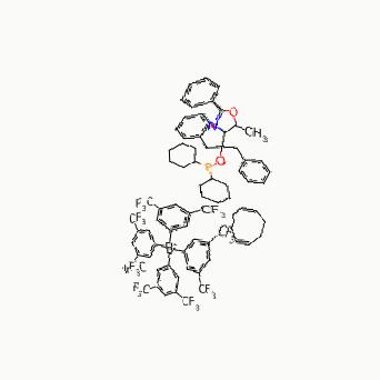 C1=CCCC=CCC1.CC1OC(c2ccccc2)=NC1C(Cc1ccccc1)(Cc1ccccc1)OP(C1CCCCC1)C1CCCCC1.FC(F)(F)c1cc([B-](c2cc(C(F)(F)F)cc(C(F)(F)F)c2)(c2cc(C(F)(F)F)cc(C(F)(F)F)c2)c2cc(C(F)(F)F)cc(C(F)(F)F)c2)cc(C(F)(F)F)c1.[Ir]